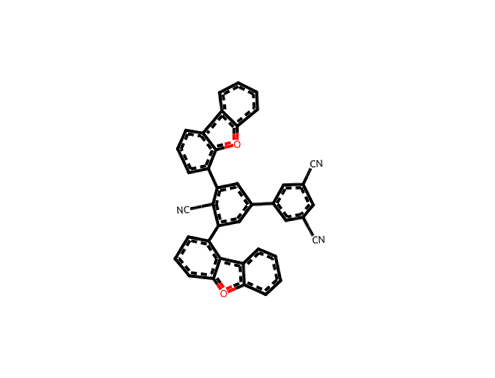 N#Cc1cc(C#N)cc(-c2cc(-c3cccc4c3oc3ccccc34)c(C#N)c(-c3cccc4oc5ccccc5c34)c2)c1